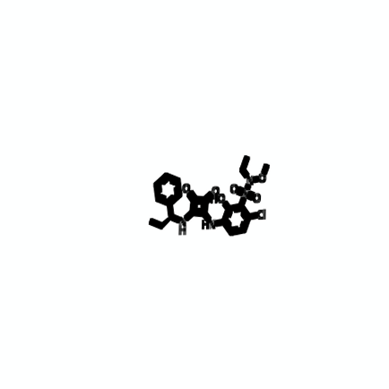 CC[C@H](Nc1c(Nc2ccc(Cl)c(S(=O)(=O)N(CC)OC)c2O)c(=O)c1=O)c1ccccc1